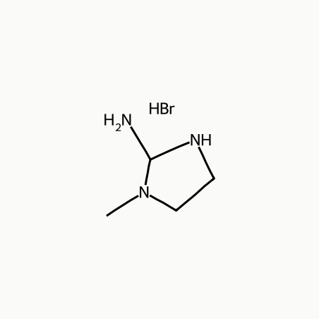 Br.CN1CCNC1N